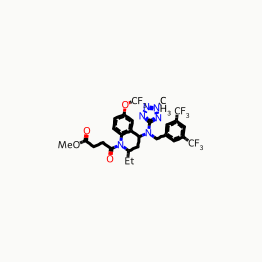 CCC1CC(N(Cc2cc(C(F)(F)F)cc(C(F)(F)F)c2)c2nnn(C)n2)c2cc(OC(F)(F)F)ccc2N1C(=O)CCC(=O)OC